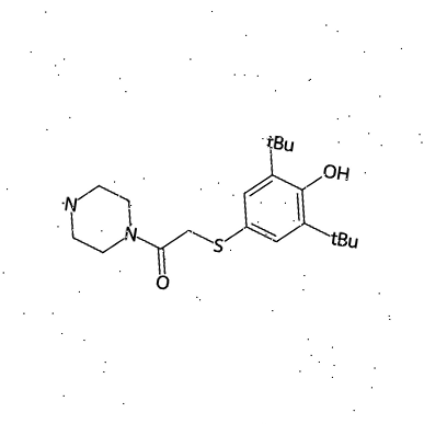 CC(C)(C)c1cc(SCC(=O)N2CC[N]CC2)cc(C(C)(C)C)c1O